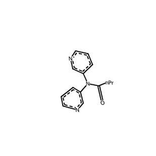 CCCC(=O)N(c1cccnc1)c1cccnc1